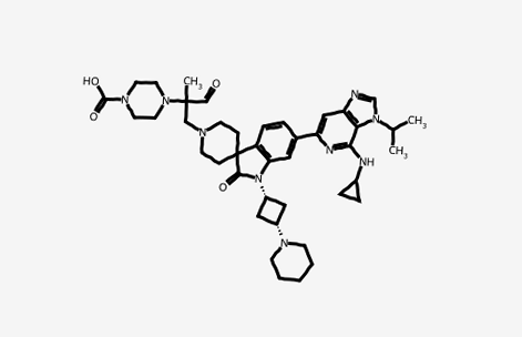 CC(C)n1cnc2cc(-c3ccc4c(c3)N([C@H]3C[C@@H](N5CCCCC5)C3)C(=O)C43CCN(CC(C)(C=O)N4CCN(C(=O)O)CC4)CC3)nc(NC3CC3)c21